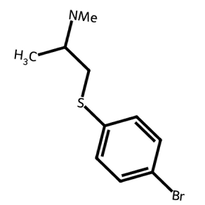 CNC(C)CSc1ccc(Br)cc1